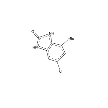 CC(C)(C)c1cc(Cl)cc2[nH]c(=O)[nH]c12